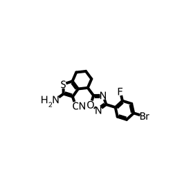 N#Cc1c(N)sc2c1C(c1nc(-c3ccc(Br)cc3F)no1)CCC2